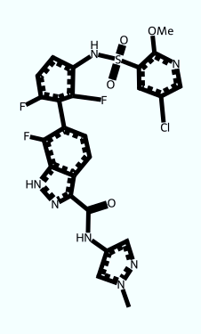 COc1ncc(Cl)cc1S(=O)(=O)Nc1ccc(F)c(-c2ccc3c(C(=O)Nc4cnn(C)c4)n[nH]c3c2F)c1F